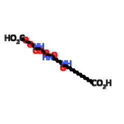 O=C(O)CCCCCCCCCCCCCCCCC(=O)NCCCCCC(=O)NCCOCCOCC(=O)NCCOCCOCC(=O)O